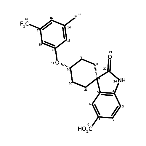 O=C(O)c1ccc2c(c1)[C@]1(CC[C@@H](Oc3cc(F)cc(C(F)(F)F)c3)CC1)C(=O)N2